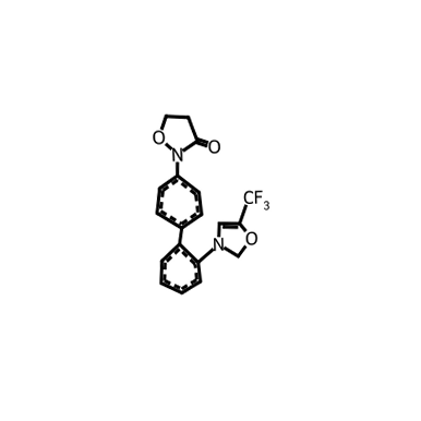 O=C1CCON1c1ccc(-c2ccccc2N2C=C(C(F)(F)F)OC2)cc1